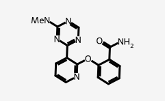 CNc1ncnc(-c2cccnc2Oc2ccccc2C(N)=O)n1